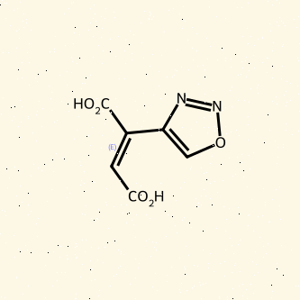 O=C(O)/C=C(/C(=O)O)c1conn1